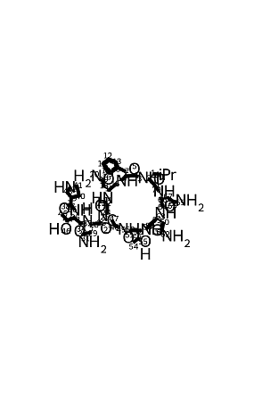 CC(C)C[C@@H]1NC(=O)[C@@H](Cc2ccccc2)NC(=O)[C@H](CCN)NC(=O)[C@@H](NC(=O)[C@H](CCN)NC(=O)[C@@H](NC(=O)C2CCNC2)C(C)O)CCNC(=O)[C@H](C(C)O)NC(=O)[C@H](CCN)NC(=O)[C@H](CCN)NC1=O